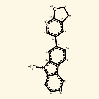 Cn1c2ccncc2c2ccc(-c3cnc4c(c3)CCO4)cc21